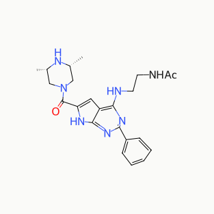 CC(=O)NCCNc1nc(-c2ccccc2)nc2[nH]c(C(=O)N3C[C@@H](C)N[C@@H](C)C3)cc12